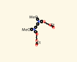 CCC1(COCCCCCOc2ccc(N(c3ccc(OC)cc3)c3ccc(-c4ccc(N(c5ccc(OC)cc5)c5ccc(OCCCCCOCC6(CC)COC6)cc5)cc4)cc3)cc2)COC1